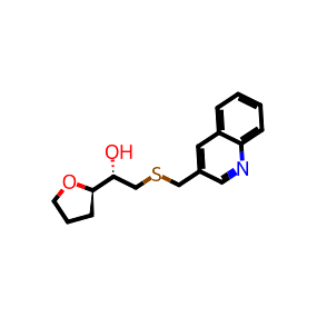 O[C@H](CSCc1cnc2ccccc2c1)[C@H]1CCCO1